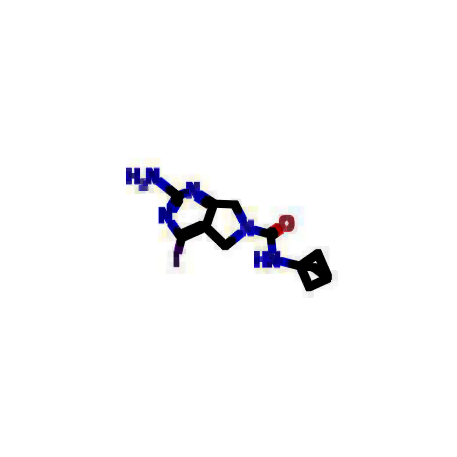 Nc1nc(I)c2c(n1)CN(C(=O)NC13CC(C1)C3)C2